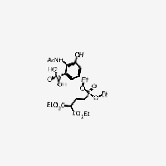 CC(=O)Nc1c(O)cccc1[As](=O)(O)O.CCOC(=O)C(CCP(=O)(OCC)OCC)C(=O)OCC